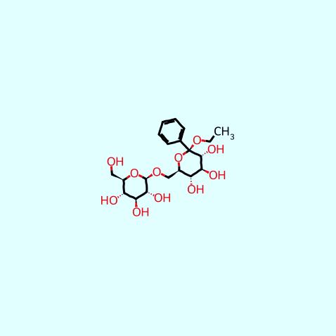 CCO[C@]1(c2ccccc2)O[C@H](CO[C@@H]2O[C@H](CO)[C@@H](O)[C@H](O)[C@H]2O)[C@@H](O)[C@H](O)[C@H]1O